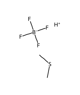 CSC.F[B-](F)(F)F.[H+]